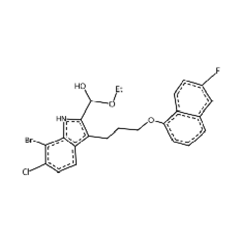 CCOC(O)c1[nH]c2c(Br)c(Cl)ccc2c1CCCOc1cccc2cc(F)ccc12